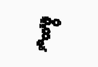 Cn1cc(-c2cnc3ccc(NC4=CC(N5CCOCC5)=CNN4)nc3c2)cn1